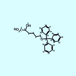 O=C(O)C(O)CCCCSC(c1ccccc1)(c1ccccc1)c1ccccc1